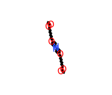 C=CC(=O)OCCCCCCCCCOc1ccc(/N=N/c2ccc(OCCCCCCCCCOC(=O)C=C)cc2)cc1